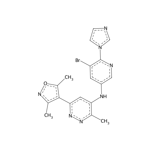 Cc1nnc(-c2c(C)noc2C)cc1Nc1cnc(-n2ccnc2)c(Br)c1